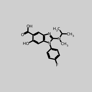 CC(C)N(C)c1nc2cc(C(=O)O)c(O)cc2n1-c1ccc(F)cc1